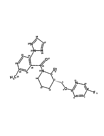 CCC1[C@H](COc2ccc(F)cn2)CCCN1C(=O)c1cc(C)ccc1-n1nccn1